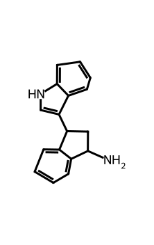 NC1CC(c2c[nH]c3ccccc23)c2ccccc21